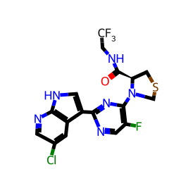 O=C(NCC(F)(F)F)[C@H]1CSCN1c1nc(-c2c[nH]c3ncc(Cl)cc23)ncc1F